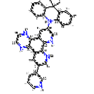 CC1(C)c2ccccc2N(c2cnc3c(c2)c2nccnc2c2cc(-c4cccnc4)cnc23)c2ccccc21